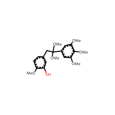 COc1ccc(CC(OC)(OC)c2cc(OC)c(OC)c(OC)c2)cc1O